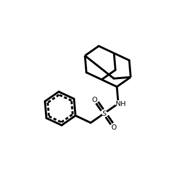 O=S(=O)(Cc1ccccc1)NC1C2CC3CC(C2)CC1C3